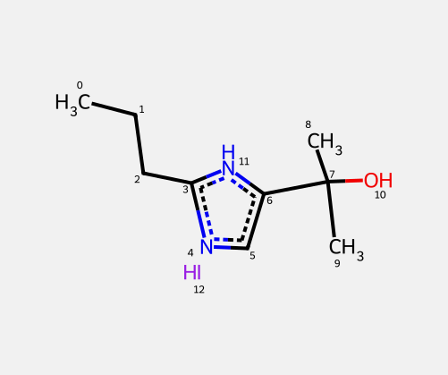 CCCc1ncc(C(C)(C)O)[nH]1.I